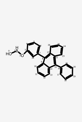 OBOc1cccc(-c2c3ccccc3c(-c3ccccc3)c3ccccc23)c1